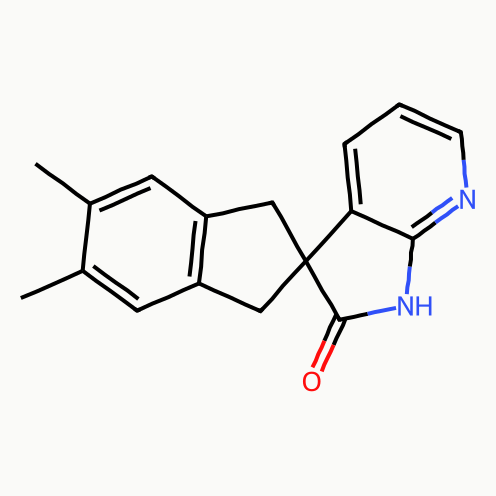 Cc1cc2c(cc1C)CC1(C2)C(=O)Nc2ncccc21